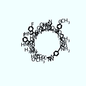 COc1ccc(C[C@@H]2NC(=O)[C@H](Cc3cnc[nH]3)NC(=O)[C@H](CC(=O)O)NC(=O)[C@H](Cc3c[nH]c4ccc(F)cc34)NC(=O)[C@H](Cc3c[nH]c4ccc(F)cc34)NC(=O)[C@H](C)NC[C@H](NC(C)=O)CCCc3cn(nn3)-c3ccc(cc3)C[C@@H](C(N)=O)NC(=O)[C@]3(C)CCCN3C2=O)cc1